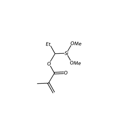 C=C(C)C(=O)OC(CC)[Si](OC)OC